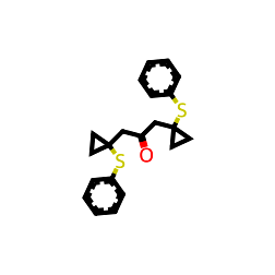 O=C(CC1(Sc2ccccc2)CC1)CC1(Sc2ccccc2)CC1